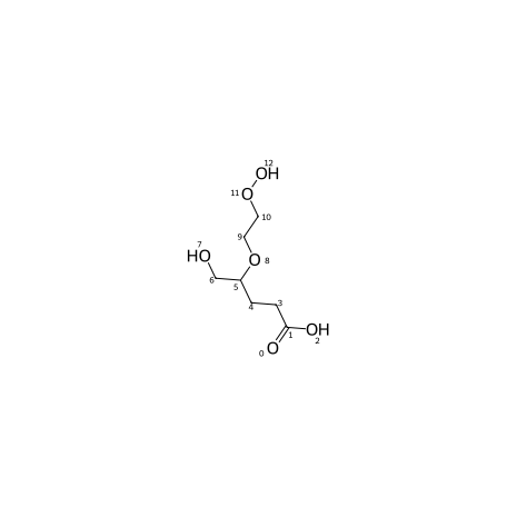 O=C(O)CCC(CO)OCCOO